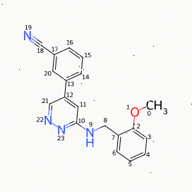 COc1ccccc1CNc1cc(-c2cccc(C#N)c2)cnn1